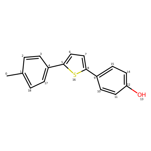 Cc1ccc(-c2ccc(-c3ccc(O)cc3)s2)cc1